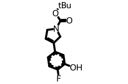 CC(C)(C)OC(=O)N1CC=C(c2ccc(F)c(O)c2)C1